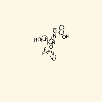 C#Cc1cccc2cc(O)cc(C(=O)N3Cc4nc(OC[C@]5(CN6CCOCC6)CC5(F)F)nc(N5CCC[C@@](C)(O)C5)c4C3)c12